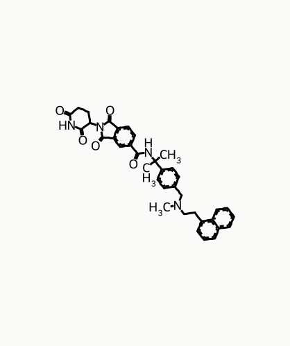 CN(CCc1cccc2ccccc12)Cc1ccc(C(C)(C)NC(=O)c2ccc3c(c2)C(=O)N(C2CCC(=O)NC2=O)C3=O)cc1